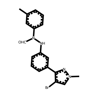 Cc1cccc(N(C=O)Nc2cccc(-c3nn(C)cc3Br)c2)c1